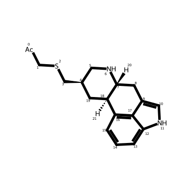 CC(=O)CSC[C@H]1CN[C@@H]2Cc3c[nH]c4cccc(c34)[C@H]2C1